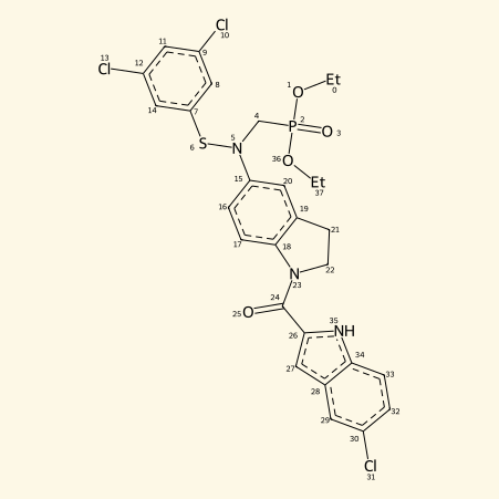 CCOP(=O)(CN(Sc1cc(Cl)cc(Cl)c1)c1ccc2c(c1)CCN2C(=O)c1cc2cc(Cl)ccc2[nH]1)OCC